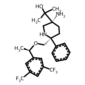 C[C@@H](OC[C@@]1(c2ccccc2)CC[C@](N)(C(C)(C)O)CN1)c1cc(C(F)(F)F)cc(C(F)(F)F)c1